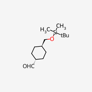 CC(C)(C)[Si](C)(C)OC[C@H]1CC[C@H](C=O)CC1